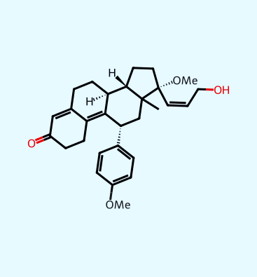 COc1ccc([C@H]2CC3(C)[C@@H](CC[C@]3(/C=C\CO)OC)[C@@H]3CCC4=CC(=O)CCC4=C32)cc1